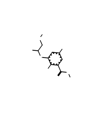 COCC(C)Nc1cc(Cl)cc(C(=O)OC)c1C